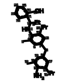 CCC(Nc1c(C)cc(Cc2cc(C)c(N)c(C(C)C)c2)cc1C(C)C)c1ccccc1O